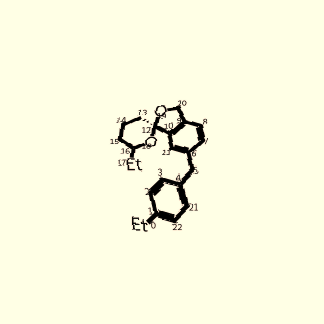 CCc1ccc(Cc2ccc3c(c2)[C@]2(CCCC(CC)O2)OC3)cc1